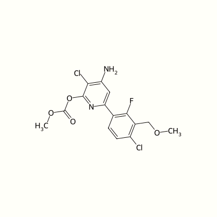 COCc1c(Cl)ccc(-c2cc(N)c(Cl)c(OC(=O)OC)n2)c1F